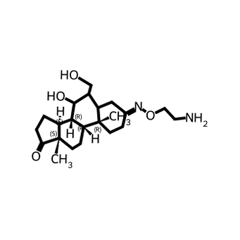 C[C@]12CCC(=NOCCN)CC1C(CO)C(O)[C@@H]1[C@H]2CC[C@]2(C)C(=O)CC[C@@H]12